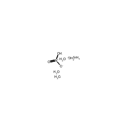 O.O.O.O.O=[N+]([O-])O.[SrH2]